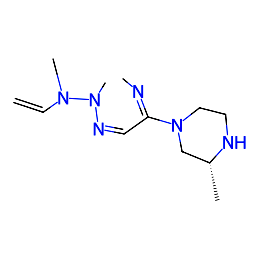 C=CN(C)N(C)/N=C\C(=N/C)N1CCN[C@H](C)C1